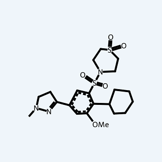 COc1cc(C2=NN(C)CC2)cc(S(=O)(=O)N2CCS(=O)(=O)CC2)c1C1CCCCC1